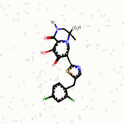 CC(C)N1CC(C)(C(=O)O)n2cc(-c3ncc(Cc4ccc(F)cc4F)s3)c(=O)c(O)c2C1=O